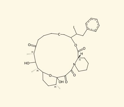 C[C@H]1C2CC[C@@H](C)C(O)(O2)C(=O)C(=O)N2CCCC[C@H]2C(=O)OC(C(I)Cc2ccccc2)CCCCCC(=O)[C@@H](C)C1O